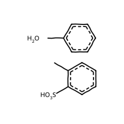 Cc1ccccc1.Cc1ccccc1S(=O)(=O)O.O